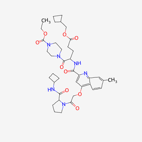 CCOC(=O)N1CCN(C(=O)C(CCC(=O)OCC2CCC2)NC(=O)c2cc(OCC(=O)N3CCCC3C(=O)NC3CCC3)c3ccc(C)cc3n2)CC1